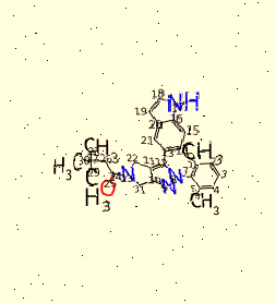 Cc1cccc(C)c1-n1nc2c(c1-c1ccc3[nH]ccc3c1)CN(C(=O)CC(C)(C)C)C2